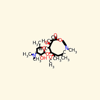 COC1(C)CC(C)CN(C)C=COC(=O)C(C)(C)C(=O)C(C)C1O[C@@H]1O[C@H](C)C[C@H](N(C)C)[C@H]1O